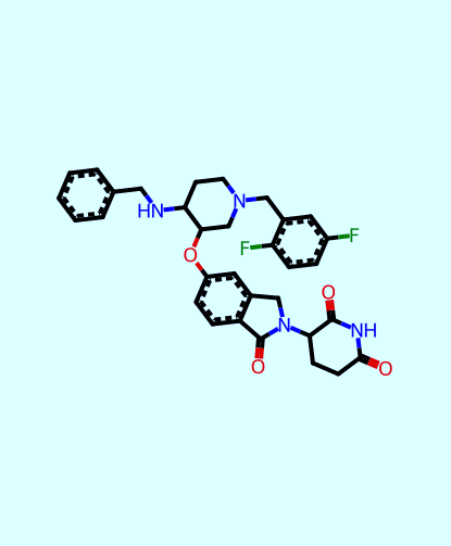 O=C1CCC(N2Cc3cc(OC4CN(Cc5cc(F)ccc5F)CCC4NCc4ccccc4)ccc3C2=O)C(=O)N1